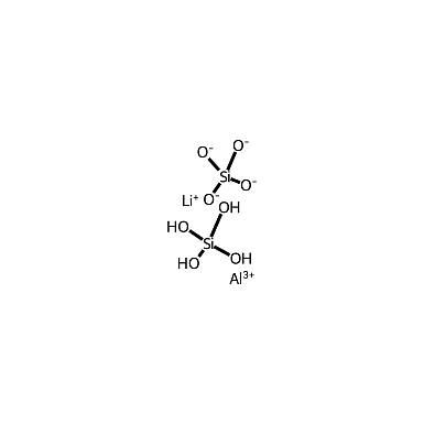 O[Si](O)(O)O.[Al+3].[Li+].[O-][Si]([O-])([O-])[O-]